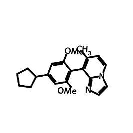 COc1cc(C2CCCC2)cc(OC)c1-c1c(C)ccn2ccnc12